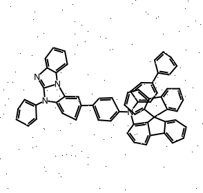 c1ccc(-c2ccc(N(c3ccc(-c4ccc5c(c4)n4c6ccccc6nc4n5-c4ccccc4)cc3)c3cccc4c3C3(c5ccccc5-c5ccccc53)c3ccccc3-4)cc2)cc1